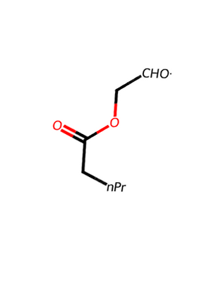 CCCCC(=O)OC[C]=O